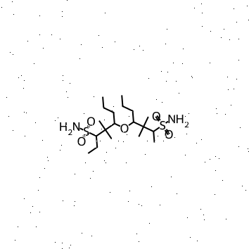 CCCC(OC(CCC)C(C)(C)C(CC)S(N)(=O)=O)C(C)(C)C(C)S(N)(=O)=O